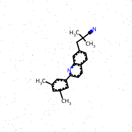 Cc1cc(C)cc(-c2ccc3ccc(CC(C)(C)C#N)cc3n2)c1